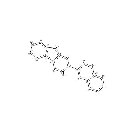 c1ccc2cc(-c3cc4sc5cnccc5c4cn3)ncc2c1